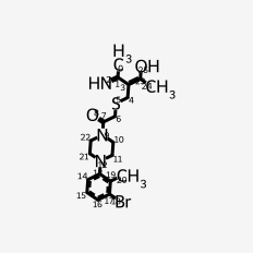 CC(=N)/C(CSCC(=O)N1CCN(c2cccc(Br)c2C)CC1)=C(/C)O